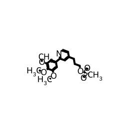 COc1cc(-c2cc(CCCOS(C)(=O)=O)ccn2)cc(OC)c1OC